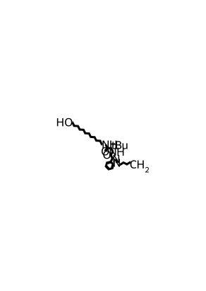 C=CCCCn1nc(C(=O)N[C@H](C(=O)NCCCCCCCCCCCCO)C(C)(C)C)c2ccccc21